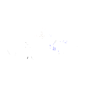 CC(C)NC1=NS(=O)(=O)c2cc(C(C)(C)C)ccc2N1